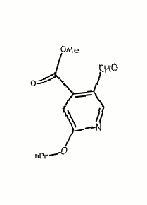 CCCOc1cc(C(=O)OC)c(C=O)cn1